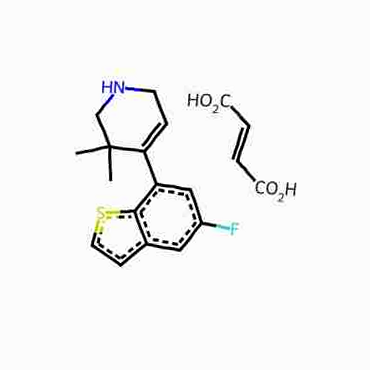 CC1(C)CNCC=C1c1cc(F)cc2ccsc12.O=C(O)/C=C/C(=O)O